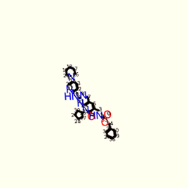 O=C(NCc1cc2cnc(Nc3ccc(N4CCCCC4)cn3)nc2n(C2CCCC2)c1=O)OCc1ccccc1